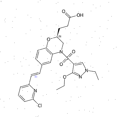 CCOc1nn(CC)cc1S(=O)(=O)N1C[C@H](CCC(=O)O)Oc2ccc(/C=C/c3cccc(Cl)n3)cc21